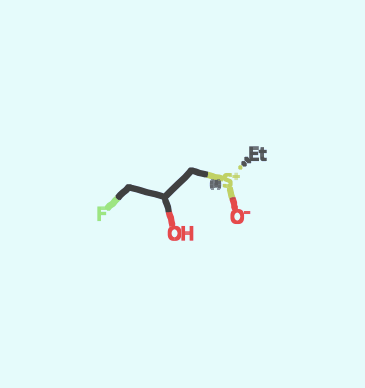 CC[S@+]([O-])CC(O)CF